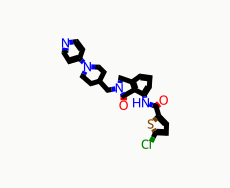 O=C(Nc1cccc2c1C(=O)N(CC1CCN(c3ccncc3)CC1)C2)c1ccc(Cl)s1